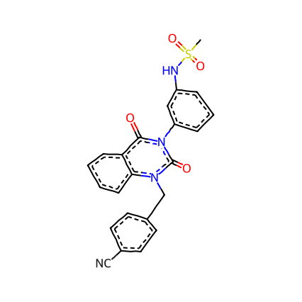 CS(=O)(=O)Nc1cccc(-n2c(=O)c3ccccc3n(Cc3ccc(C#N)cc3)c2=O)c1